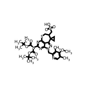 COc1c(C)cnc(Cn2nc3c4c(nc(N(C(=O)OC(C)(C)C)C(=O)OC(C)(C)C)nc42)SCC(CS(=O)(=O)O)C32CC2)c1C